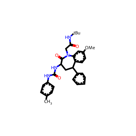 COc1ccc2c(c1)N(CC(=O)NC(C)(C)C)C(=O)C(NC(=O)Nc1ccc(C)cc1)CC2c1ccccc1